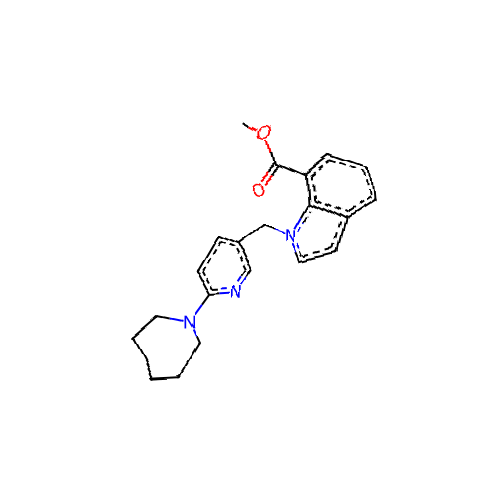 COC(=O)c1cccc2ccn(Cc3ccc(N4CCCCC4)nc3)c12